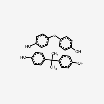 CC(C)(c1ccc(O)cc1)c1ccc(O)cc1.Oc1ccc(Sc2ccc(O)cc2)cc1